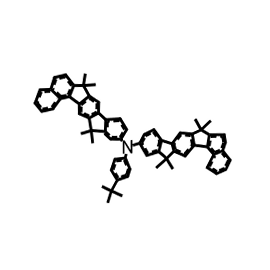 CC(C)(C)c1ccc(N(c2ccc3c(c2)C(C)(C)c2cc4c(cc2-3)C(C)(C)c2ccc3ccccc3c2-4)c2ccc3c(c2)C(C)(C)c2cc4c(cc2-3)C(C)(C)c2ccc3ccccc3c2-4)cc1